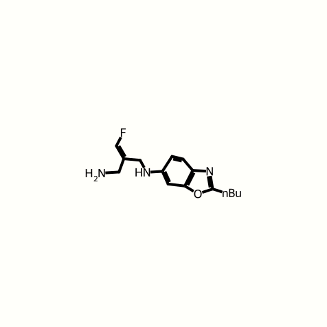 CCCCc1nc2ccc(NC/C(=C\F)CN)cc2o1